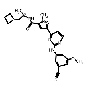 COc1cc(C#N)cc(Nc2nccc(-c3cc(C(=O)N[C@@H](C)CN4CCC4)n(C)n3)n2)c1